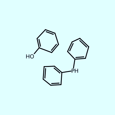 Oc1ccccc1.c1ccc(Pc2ccccc2)cc1